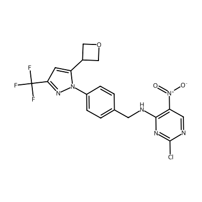 O=[N+]([O-])c1cnc(Cl)nc1NCc1ccc(-n2nc(C(F)(F)F)cc2C2COC2)cc1